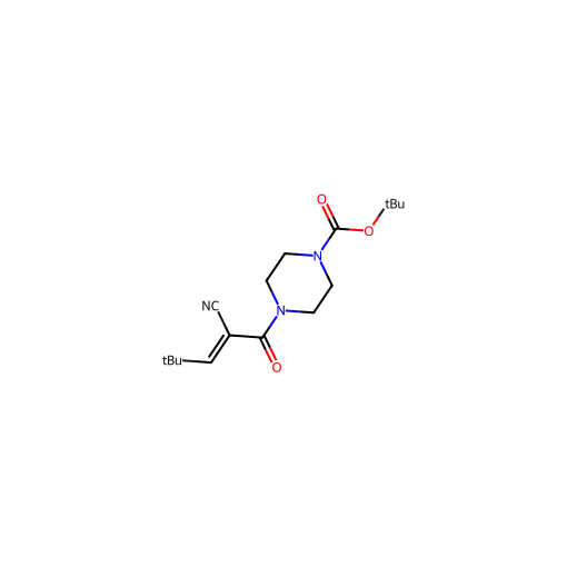 CC(C)(C)/C=C(\C#N)C(=O)N1CCN(C(=O)OC(C)(C)C)CC1